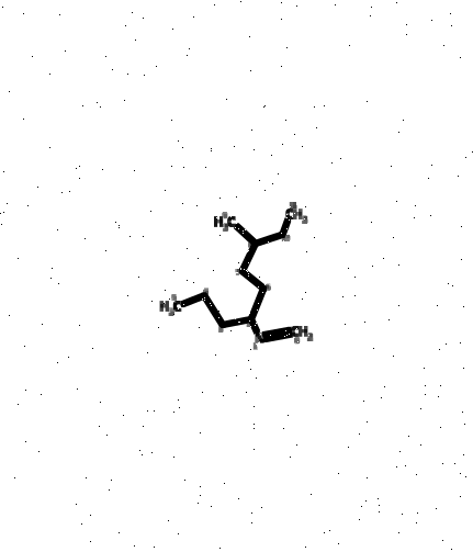 C=NC(CCC)CCC(C)CC